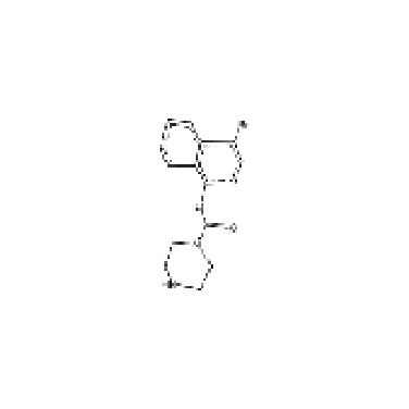 O=C(Oc1ccc(Br)c2ccccc12)N1CCNCC1